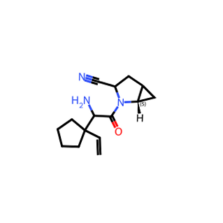 C=CC1(C(N)C(=O)N2C(C#N)CC3C[C@@H]32)CCCC1